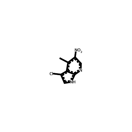 Cc1c([N+](=O)[O-])cnc2[nH]cc(Cl)c12